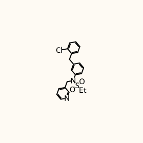 CCS(=O)(=O)N(Cc1cccnc1)c1cccc(Cc2ccccc2Cl)c1